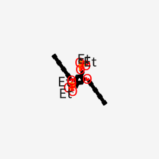 C#CC#CC#CC#COc1cc(CP(=O)(OCC)OCC)c(OC#CC#CC#CC#C)cc1COP(OCC)OCC